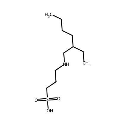 CCCCC(CC)CNCCCS(=O)(=O)O